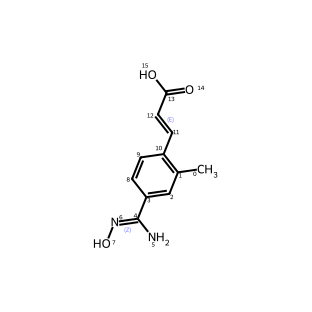 Cc1cc(/C(N)=N/O)ccc1/C=C/C(=O)O